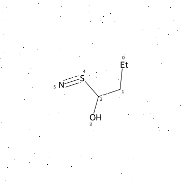 CCCC(O)S#N